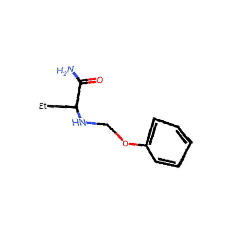 CCC(NCOc1ccccc1)C(N)=O